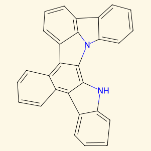 c1ccc2c(c1)[nH]c1c2c2ccccc2c2c3cccc4c5ccccc5n(c43)c12